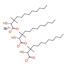 CCCCCCCCCC(C)(C)C(S)C(=O)[O-].CCCCCCCCCC(C)(C)C(S)C(=O)[O-].CCCCCCCCCC(C)(C)C(S)C(=O)[O-].[Sb+3]